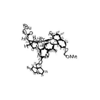 COCOc1cc(-c2ncc3c(N4C[C@@H]5C(NC(=O)OC(C)(C)C)[C@@H]5C4)nc(OC[C@@]45CCCN4C[C@H](F)C5)nc3c2F)c2c(C#C[Si](C(C)C)(C(C)C)C(C)C)c(F)ccc2c1